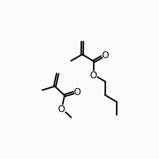 C=C(C)C(=O)OC.C=C(C)C(=O)OCCCC